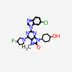 Cn1c(=O)n(C2CCC(O)CC2)c2nc(-n3cnc4ccc(Cl)cc43)nc(N3CC[C@H](F)C3)c21